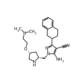 CN(C)CCO[C@H]1CN[C@H](Cn2nc(C3CCc4ccccc4C3)c(C#N)c2N)C1